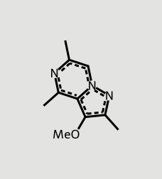 COc1c(C)nn2cc(C)nc(C)c12